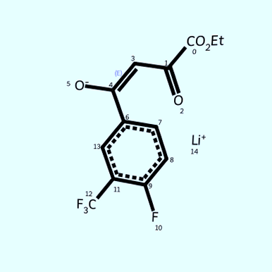 CCOC(=O)C(=O)/C=C(/[O-])c1ccc(F)c(C(F)(F)F)c1.[Li+]